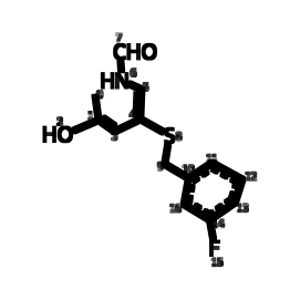 C/C(O)=C\C(=C/NC=O)SCc1cccc(F)c1